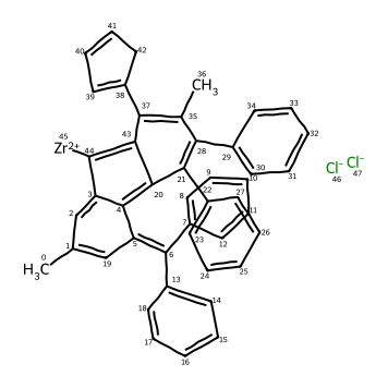 Cc1cc2c(c(=C(c3ccccc3)c3ccccc3)c1)=c1c(-c3ccccc3)c(-c3ccccc3)c(C)c(C3=CC=CC3)c1=[C]2[Zr+2].[Cl-].[Cl-]